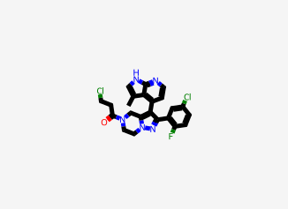 Cc1c[nH]c2nccc(-c3c(-c4cc(Cl)ccc4F)nn4c3CN(C(=O)CCCl)CC4)c12